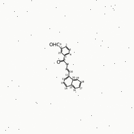 O=Cc1cccc(C(=O)CC=Cc2cccc3ccccc23)c1